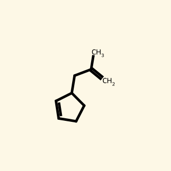 C=C(C)CC1C=CCC1